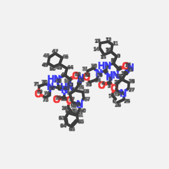 CCOC(=O)N=C(NC(CC1CCCCC1)C(=O)NC1(C#N)CCN(CC)CC1)N1CCOCC1.CCOC(=O)N=C(NC(CC1CCCCC1)C(=O)NC1(C#N)CCN(Cc2ccccc2)CC1)N1CCOCC1